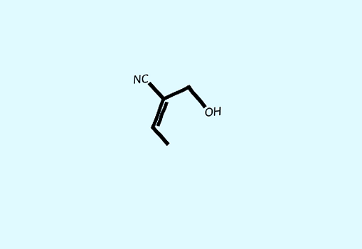 CC=C(C#N)CO